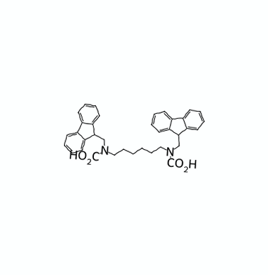 O=C(O)N(CCCCCCN(CC1c2ccccc2-c2ccccc21)C(=O)O)CC1c2ccccc2-c2ccccc21